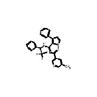 Cc1cncc(-c2nc(NC(c3ccccc3)C(F)(F)F)c3c(-c4ccccc4)ccn3n2)c1